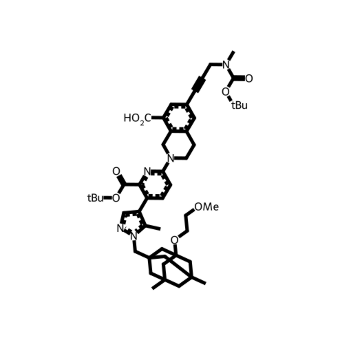 COCCOC12CC3(C)CC(C)(CC(Cn4ncc(-c5ccc(N6CCc7cc(C#CCN(C)C(=O)OC(C)(C)C)cc(C(=O)O)c7C6)nc5C(=O)OC(C)(C)C)c4C)(C3)C1)C2